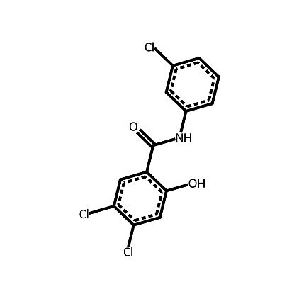 O=C(Nc1cccc(Cl)c1)c1cc(Cl)c(Cl)cc1O